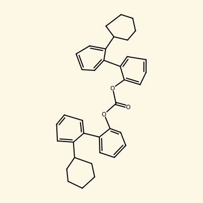 O=C(Oc1ccccc1-c1ccccc1C1CCCCC1)Oc1ccccc1-c1ccccc1C1CCCCC1